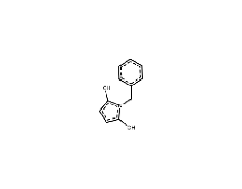 Oc1ccc(O)n1Cc1ccccc1